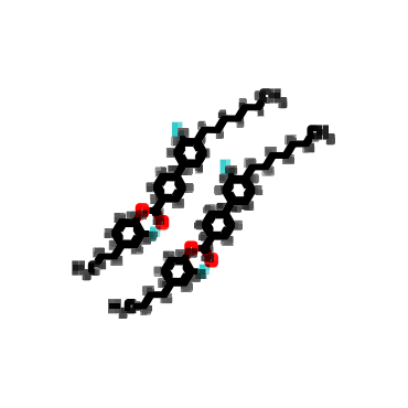 CCCCCCCc1ccc(-c2ccc(C(=O)Oc3ccc(CCC)cc3F)cc2)cc1F.CCCCCCCc1ccc(-c2ccc(C(=O)Oc3ccc(CCCC)cc3F)cc2)cc1F